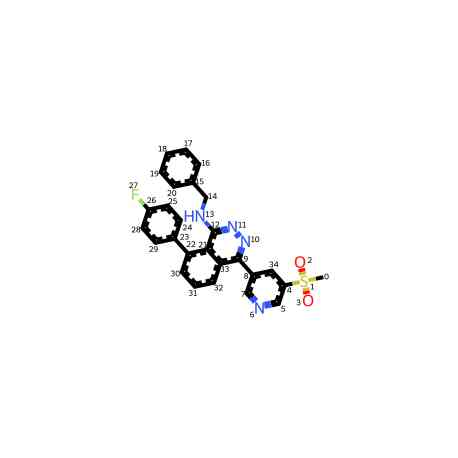 CS(=O)(=O)c1cncc(-c2nnc(NCc3ccccc3)c3c(-c4ccc(F)cc4)cccc23)c1